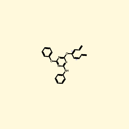 C=C/C=C\C(=C/C=C)Oc1nc(Nc2ccccc2)nc(Oc2ccccc2)n1